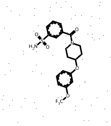 NS(=O)(=O)c1cccc(C(=O)N2CCC(Oc3cccc(OC(F)(F)F)c3)CC2)c1